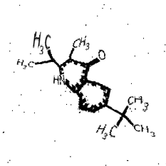 Cc1c(C(C)C)[nH]c2ccc(C(C)(C)C)cc2c1=O